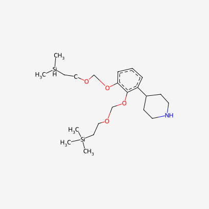 C[SiH](C)CCOCOc1cccc(C2CCNCC2)c1OCOCC[Si](C)(C)C